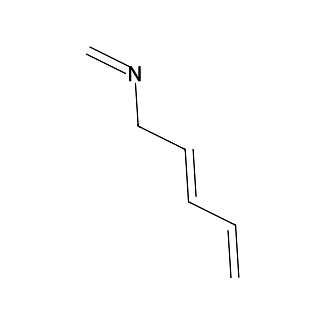 C=C/C=C/CN=C